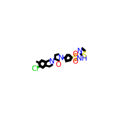 Cc1cc2c(cc1Cl)CCN([C@H]1CCN(c3ccc(S(=O)(=O)Nc4nccs4)cc3)C1=O)C2